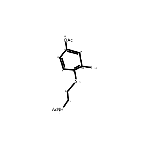 CC(=O)NCCSc1ccc(OC(C)=O)cc1I